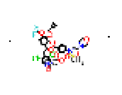 CS(=O)(=O)N(CCN1CCOCC1)c1ccc(C(=O)OC(Cc2c(Cl)c[n+]([O-])cc2Cl)c2ccc(OC(F)F)c(OCC3CC3)c2)c(OC(=O)C(F)(F)F)c1